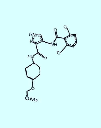 COCOC1CCC(NC(=O)c2n[nH]cc2NC(=O)c2c(Cl)cccc2Cl)CC1